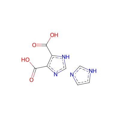 O=C(O)c1nc[nH]c1C(=O)O.c1c[nH]cn1